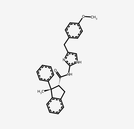 COc1ccc(Cc2c[nH]c(NC(=O)[C@@H]3Cc4ccccc4[C@]3(C)c3ccccc3)n2)cc1